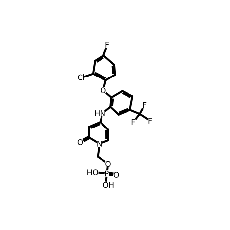 O=c1cc(Nc2cc(C(F)(F)F)ccc2Oc2ccc(F)cc2Cl)ccn1COP(=O)(O)O